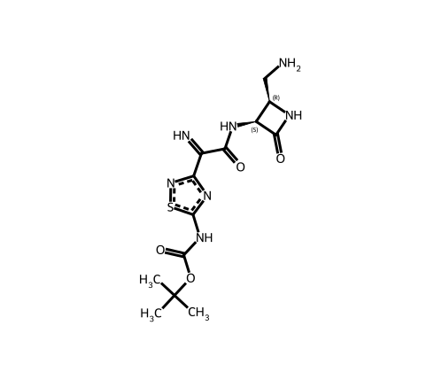 CC(C)(C)OC(=O)Nc1nc(C(=N)C(=O)N[C@@H]2C(=O)N[C@@H]2CN)ns1